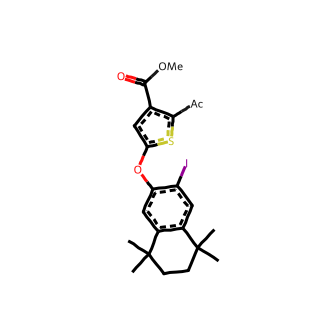 COC(=O)c1cc(Oc2cc3c(cc2I)C(C)(C)CCC3(C)C)sc1C(C)=O